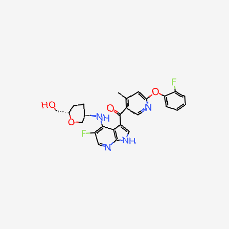 Cc1cc(Oc2ccccc2F)ncc1C(=O)c1c[nH]c2ncc(F)c(N[C@@H]3CC[C@@H](CO)OC3)c12